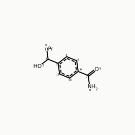 CCCC(O)c1ccc(C(N)=O)cc1